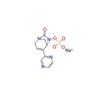 O=C1N2CC=C(c3cnccn3)C(C2)N1OS(=O)(=O)[O-].[Na+]